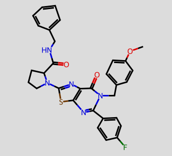 COc1ccc(Cn2c(-c3ccc(F)cc3)nc3sc(N4CCCC4C(=O)NCc4ccccc4)nc3c2=O)cc1